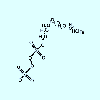 Cl.N.O.O.O.O.O.O.O=S(=O)(O)OOS(=O)(=O)O.[Fe]